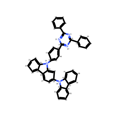 c1ccc(-c2nc(-c3ccccc3)nc(-c3ccc(-n4c5ccccc5c5ccc(-n6c7ccccc7c7ccccc76)cc54)cc3)n2)cc1